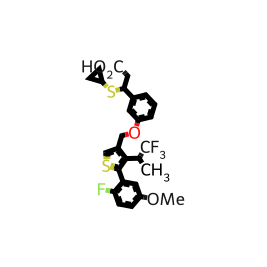 COc1ccc(F)c(-c2scc(COc3cccc(C(CC(=O)O)SC4CC4)c3)c2C(C)C(F)(F)F)c1